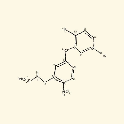 O=C(O)NCc1cc(Oc2cc(F)ccc2F)ccc1[N+](=O)[O-]